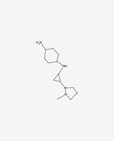 CN1CSCN1C1CC1NC1CCC(N)CC1